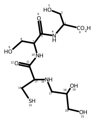 O=C(O)C(CO)NC(=O)C(CO)NC(=O)C(CS)NCC(O)CO